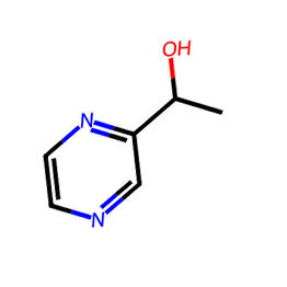 CC(O)c1cnccn1